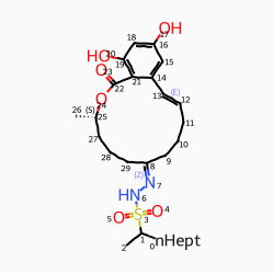 CCCCCCCC(C)S(=O)(=O)N/N=C1/CCC/C=C/c2cc(O)cc(O)c2C(=O)O[C@@H](C)CCC1